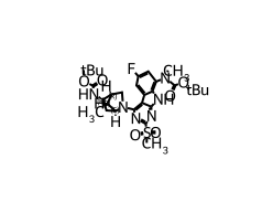 C[C@@H]1[C@@H]2CN(c3nc(S(C)(=O)=O)nc4[nH]c5c(N(C)C(=O)OC(C)(C)C)cc(F)cc5c34)[C@H]1C[C@H]2NC(=O)OC(C)(C)C